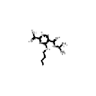 CCCCOc1nc(C(=O)O)ncc1C(=O)NC(P)P